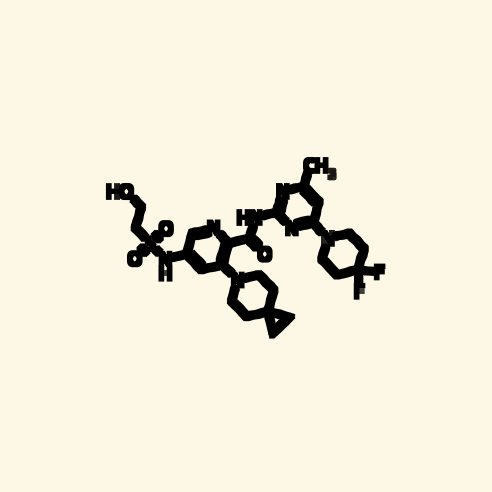 Cc1cc(N2CCC(F)(F)CC2)nc(NC(=O)c2ncc(NS(=O)(=O)CCO)cc2N2CCC3(CC2)CC3)n1